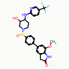 COc1cc(-c2ccc([S+]([O-])N3CCC(Nc4ccc(C(F)(F)F)cn4)C(O)C3)cc2)cc2c1NC(=O)C2